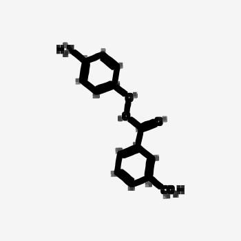 Nc1ccc(OOC(=O)c2cccc(C(=O)O)c2)cc1